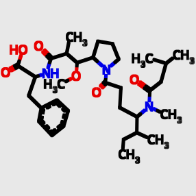 CCC(C)C(CCC(=O)N1CCCC1C(OC)C(C)C(=O)NC(Cc1ccccc1)C(=O)O)N(C)C(=O)CC(C)C